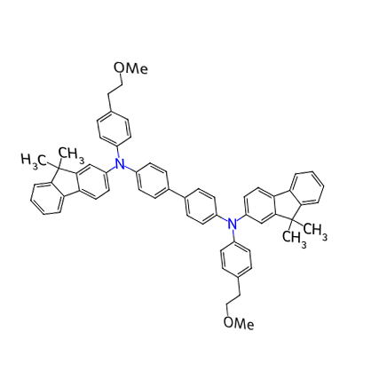 COCCc1ccc(N(c2ccc(-c3ccc(N(c4ccc(CCOC)cc4)c4ccc5c(c4)C(C)(C)c4ccccc4-5)cc3)cc2)c2ccc3c(c2)C(C)(C)c2ccccc2-3)cc1